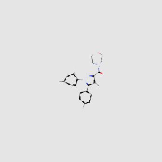 Cc1c(C(=O)N2CCOCC2)nn(-c2ccc(Cl)cc2Cl)c1-c1ccc(Cl)cc1